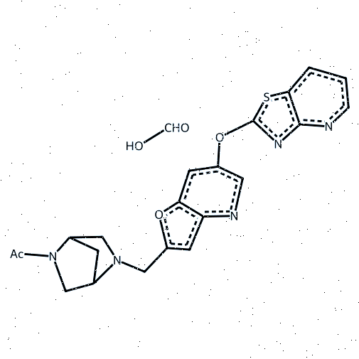 CC(=O)N1CC2CC1CN2Cc1cc2ncc(Oc3nc4ncccc4s3)cc2o1.O=CO